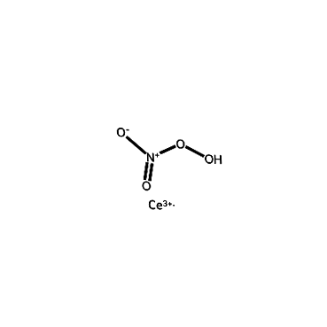 O=[N+]([O-])OO.[Ce+3]